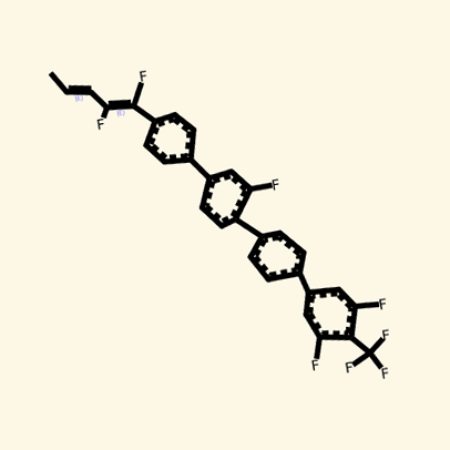 C/C=C/C(F)=C(\F)c1ccc(-c2ccc(-c3ccc(-c4cc(F)c(C(F)(F)F)c(F)c4)cc3)c(F)c2)cc1